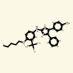 CCCCCOc1ccc(Nc2nc(-c3ccc(Cl)cc3)c(-c3ccccc3)s2)cc1C(F)(F)F